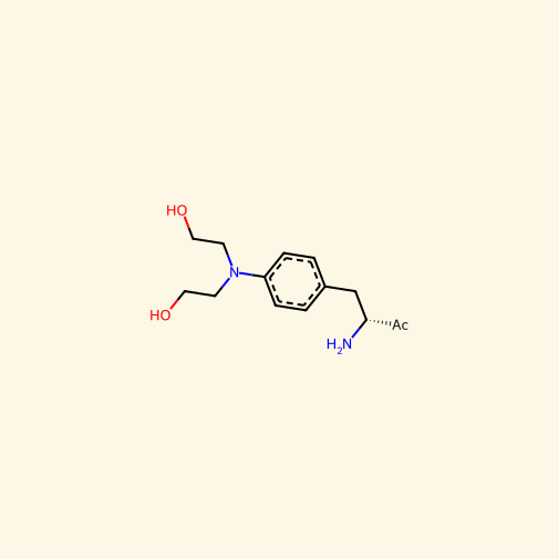 CC(=O)[C@H](N)Cc1ccc(N(CCO)CCO)cc1